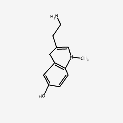 CN1C=C(CCN)Cc2cc(O)ccc21